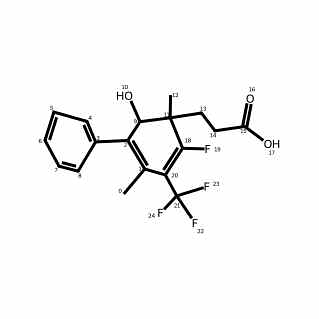 CC1=C(c2ccccc2)C(O)C(C)(CCC(=O)O)C(F)=C1C(F)(F)F